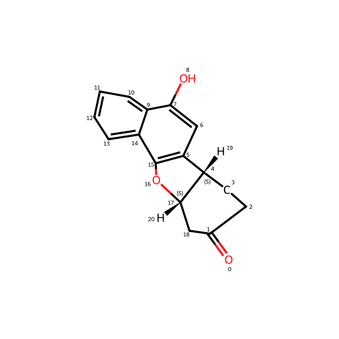 O=C1CC[C@H]2c3cc(O)c4ccccc4c3O[C@H]2C1